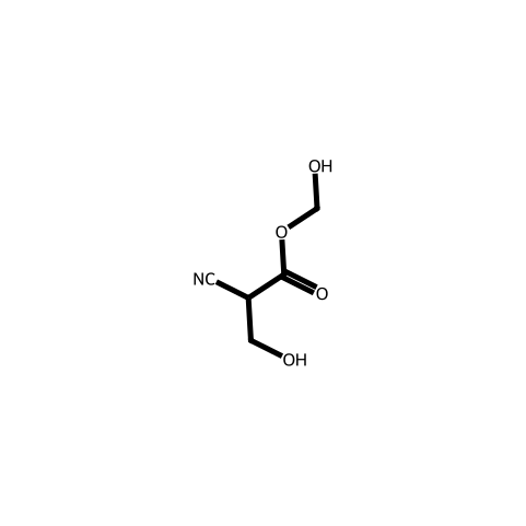 N#CC(CO)C(=O)OCO